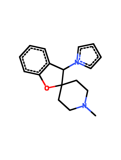 CN1CCC2(CC1)Oc1ccccc1C2n1cccc1